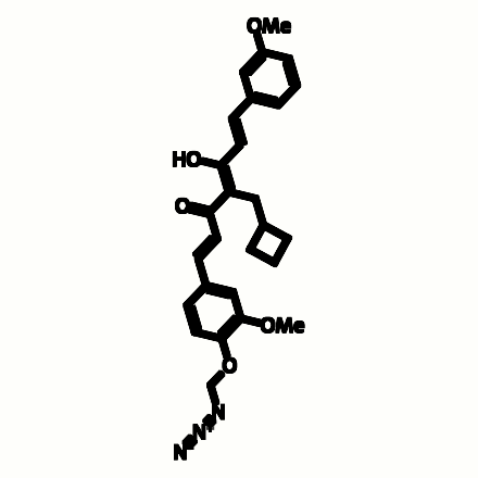 COc1cccc(/C=C/C(O)=C(\CC2CCC2)C(=O)/C=C/c2ccc(OCN=[N+]=[N-])c(OC)c2)c1